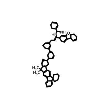 CC1(C)C2=C(CC(C3C=CC=C(C4=CC(C/C=C(\NC(N)C5=CC=CCC5)C5C=C6OC7CCC=CC7C6=CC5)=CCC4)C3)C=C2)c2cc3c(cc21)-c1ccccc1C31CCCCC1